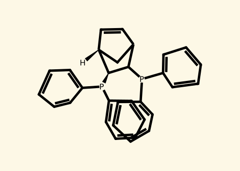 C1=C[C@@H]2CC1C(P(c1ccccc1)c1ccccc1)[C@H]2P(c1ccccc1)c1ccccc1